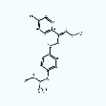 CCO/N=C(\COc1ccc(CC(OCC)C(=O)O)cc1)c1ccc(Cl)cc1